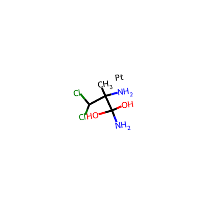 CC(N)(C(Cl)Cl)C(N)(O)O.[Pt]